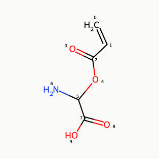 C=CC(=O)OC(N)C(=O)O